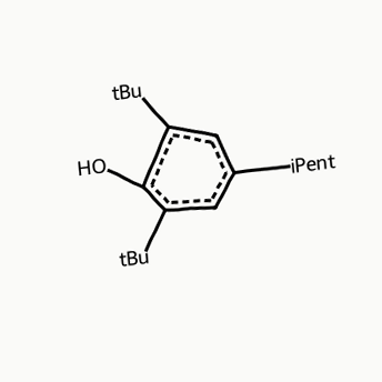 CCCC(C)c1cc(C(C)(C)C)c(O)c(C(C)(C)C)c1